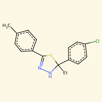 CCC1(c2ccc(Cl)cc2)NN=C(c2ccc(C)cc2)S1